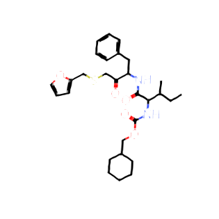 CCC(C)C(NC(=O)OCC1CCCCC1)C(=O)NC(Cc1ccccc1)C(=O)CSCc1ccco1